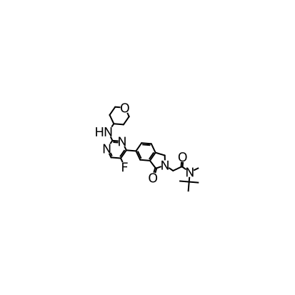 CN(C(=O)CN1Cc2ccc(-c3nc(NC4CCOCC4)ncc3F)cc2C1=O)C(C)(C)C